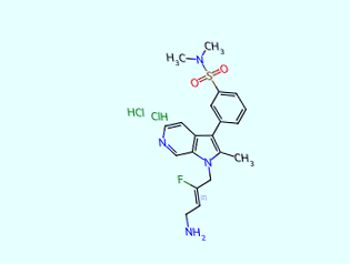 Cc1c(-c2cccc(S(=O)(=O)N(C)C)c2)c2ccncc2n1C/C(F)=C/CN.Cl.Cl